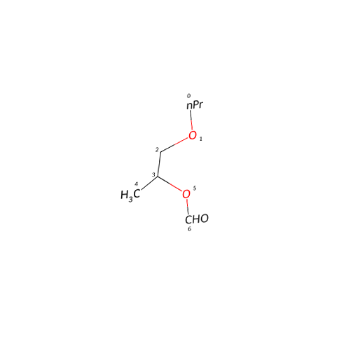 [CH2]CCOCC(C)OC=O